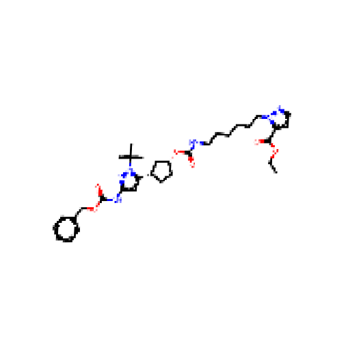 CCOC(=O)c1ccnn1CCCCCCNC(=O)O[C@@H]1CC[C@H](c2cc(NC(=O)OCc3ccccc3)nn2C(C)(C)C)C1